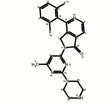 Cc1cc(N2Cc3c(ccnc3-c3c(F)cccc3F)C2=O)nc(N2CCNCC2)n1